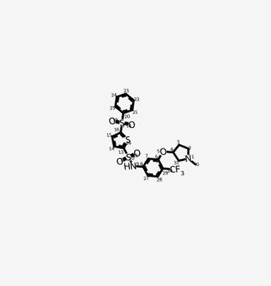 CN1CCC(Oc2cc(NS(=O)(=O)c3ccc(S(=O)(=O)c4ccccc4)s3)ccc2C(F)(F)F)C1